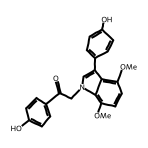 COc1ccc(OC)c2c1c(-c1ccc(O)cc1)cn2CC(=O)c1ccc(O)cc1